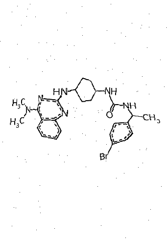 CC(NC(=O)NC1CCC(Nc2nc(N(C)C)c3ccccc3n2)CC1)c1ccc(Br)cc1